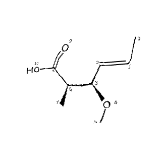 C/C=C/[C@@H](OC)[C@@H](C)C(=O)O